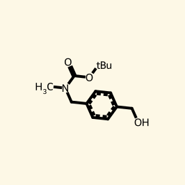 CN(Cc1ccc(CO)cc1)C(=O)OC(C)(C)C